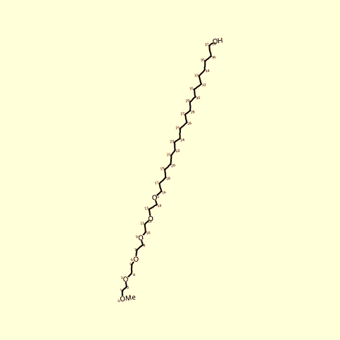 COCCOCCOCCOCCOCCOCCCCCCCCCCCCCCCCCCCCCCO